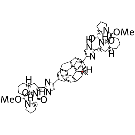 COC(=O)N1CCC[C@H]1C(=O)N1[C@H](c2nc(-c3ccc(-c4cc5ccc4CCc4ccc(c(-c6ccc(-c7c[nH]c([C@@H]8C[C@@H]9CCCC[C@@H]9N8C(=O)[C@@H]8CCCN8C(=O)OC)n7)cc6)c4)C[C@H]5C)cc3)c[nH]2)C[C@@H]2CCCC[C@@H]21